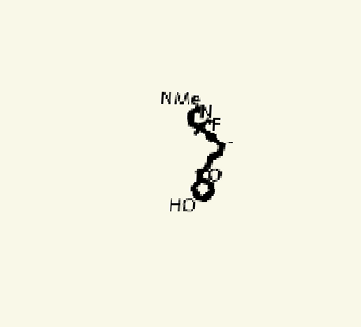 CNC1=NC(F)C(C)(C#C[C@H](C)/C=C/c2cc3cc(O)ccc3o2)C=C1